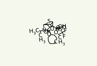 CC(C)N1C(=O)C2C3SC(C(OC(=O)C4CCCCCCC4)C31)C2C(=O)OC(C)C(F)(F)S(=O)(=O)O